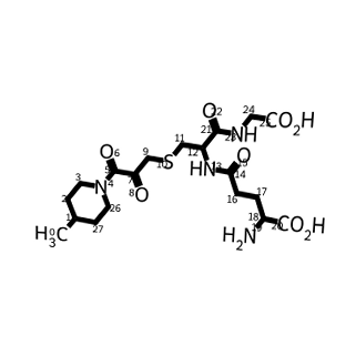 CC1CCN(C(=O)C(=O)CSCC(NC(=O)CCC(N)C(=O)O)C(=O)NCC(=O)O)CC1